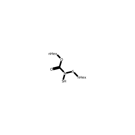 CCCCCCOC(=O)N(S)SCCCCCC